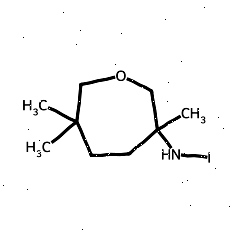 CC1(C)CCC(C)(NI)COC1